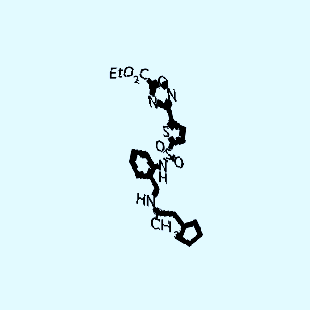 CCOC(=O)c1nc(-c2ccc(S(=O)(=O)Nc3ccccc3CN[C@@H](C)CC3CCCC3)s2)no1